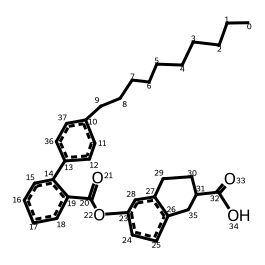 CCCCCCCCCCc1ccc(-c2ccccc2C(=O)Oc2ccc3c(c2)CCC(C(=O)O)C3)cc1